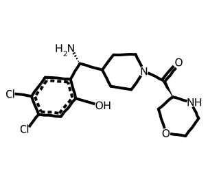 N[C@@H](c1cc(Cl)c(Cl)cc1O)C1CCN(C(=O)[C@@H]2COCCN2)CC1